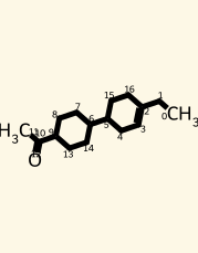 CCC1=CCC(C2CCC(C(C)=O)CC2)CC1